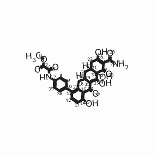 COC(=O)C(=O)Nc1ccc(-c2ccc(O)c3c2C[C@H]2C[C@H]4CC(O)=C(C(N)=O)C(=O)[C@@]4(O)C(O)=C2C3=O)cc1